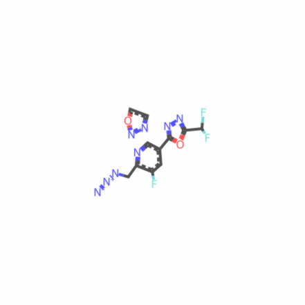 [N-]=[N+]=NCc1ncc(-c2nnc(C(F)F)o2)cc1F.c1conn1